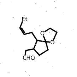 CC/C=C\CC1C(CC=O)CCC12OCCO2